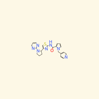 O=C(Nc1nc(C2CCCN2c2ncccn2)cs1)c1cccn1Cc1ccncc1